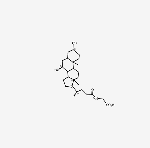 C[C@H](CCC(=O)NCC(=O)O)[C@H]1CCC2C3C(CC[C@@]21C)C1(C)CC[C@@H](O)CC1C[C@@H]3O